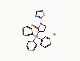 O=C1[C@H]([P+](c2ccccc2)(c2ccccc2)c2ccccc2)CCN1c1nccs1.[Br-]